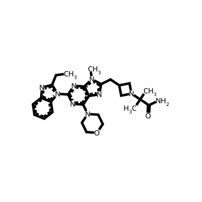 CCc1nc2ccccc2n1-c1nc(N2CCOCC2)c2nc(CC3CN(C(C)(C)C(N)=O)C3)n(C)c2n1